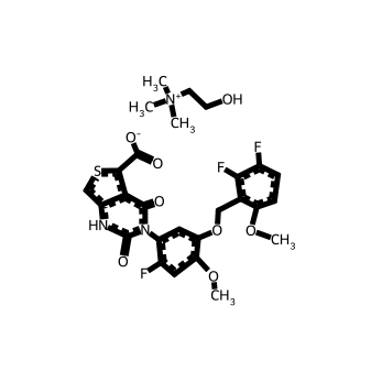 COc1cc(F)c(-n2c(=O)[nH]c3csc(C(=O)[O-])c3c2=O)cc1OCc1c(OC)ccc(F)c1F.C[N+](C)(C)CCO